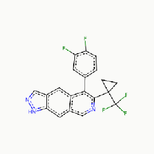 Fc1ccc(-c2c(C3(C(F)(F)F)CC3)ncc3cc4[nH]ncc4cc23)cc1F